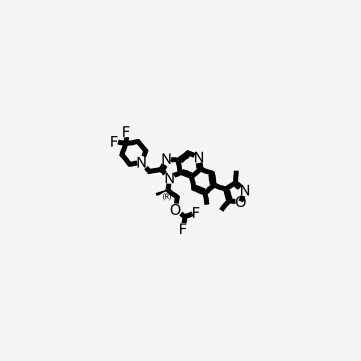 Cc1cc2c(cc1-c1c(C)noc1C)ncc1nc(CN3CCC(F)(F)CC3)n([C@H](C)COC(F)F)c12